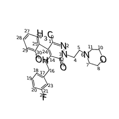 Cc1nn(CCN2CCOCC2)c(=O)c(CCc2cccc(F)c2)c1-c1ccccc1O